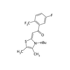 CCCCN1C(=CC(=O)c2cc(F)ccc2C(F)(F)F)SC(C)=C1C